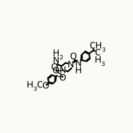 COc1ccc(S(=O)(=O)N2CCN(C(=O)Nc3ccc(C(C)C)cc3)CC2C(N)=O)cc1